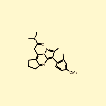 COc1ccc(-c2c(C)nn3c(CC(=O)N(C)C)c4c(nc23)CCC4)c(C)c1